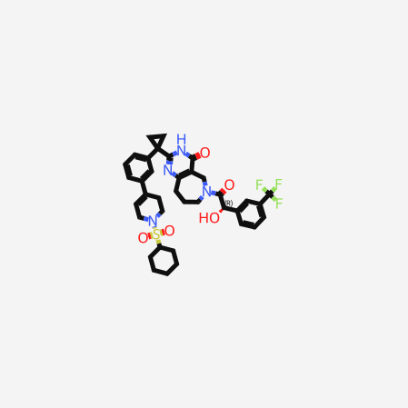 O=C([C@H](O)c1cccc(C(F)(F)F)c1)N1CCCc2nc(C3(c4cccc(C5=CCN(S(=O)(=O)C6CCCCC6)CC5)c4)CC3)[nH]c(=O)c2C1